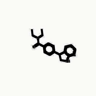 CCN(CC)C(=O)c1ccc(C2CNc3ncccc32)cc1